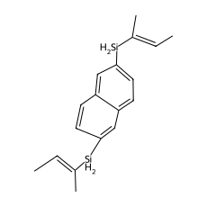 CC=C(C)[SiH2]c1ccc2cc([SiH2]C(C)=CC)ccc2c1